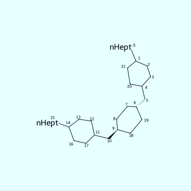 CCCCCCCC1CCC(C[C@H]2CC[C@H](CC3CCC(CCCCCCC)CC3)CC2)CC1